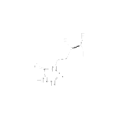 O=c1[nH]nnn1CCC(F)=C(F)F